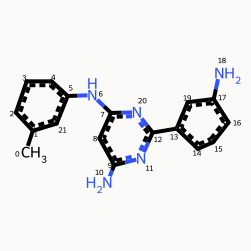 Cc1cccc(Nc2cc(N)nc(-c3cccc(N)c3)n2)c1